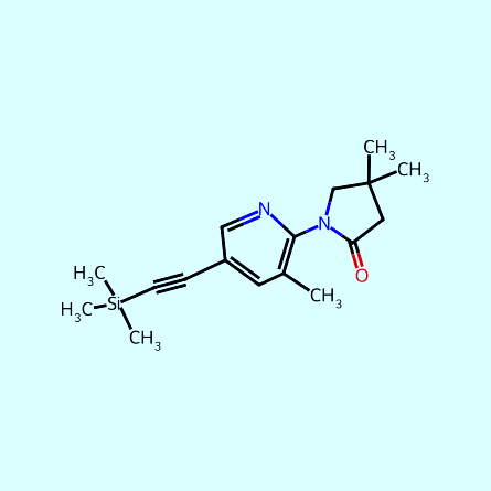 Cc1cc(C#C[Si](C)(C)C)cnc1N1CC(C)(C)CC1=O